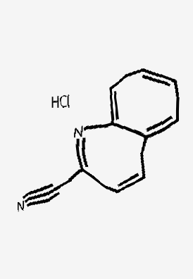 Cl.N#Cc1ccc2ccccc2n1